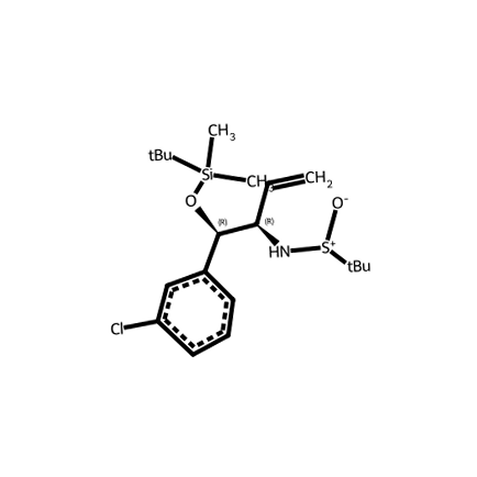 C=C[C@@H](N[S+]([O-])C(C)(C)C)[C@H](O[Si](C)(C)C(C)(C)C)c1cccc(Cl)c1